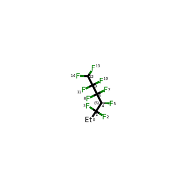 [CH2]CC(F)(F)[C@H](F)C(F)(F)C(F)(F)C(F)F